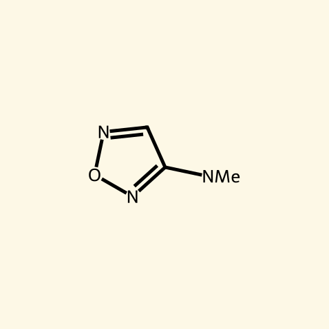 CNc1cnon1